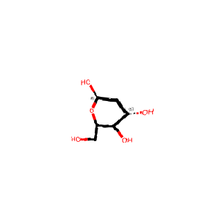 OCC1O[C@@H](O)C[C@H](O)C1O